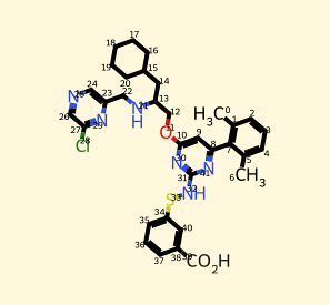 Cc1cccc(C)c1-c1cc(OCC(CC2CCCCC2)NCc2cncc(Cl)n2)nc(NSc2cccc(C(=O)O)c2)n1